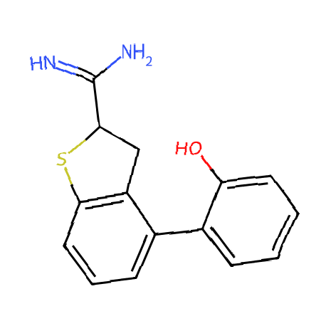 N=C(N)C1Cc2c(cccc2-c2ccccc2O)S1